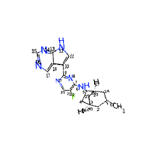 CC1C[C@H]2CC(Nc3nc(-c4c[nH]c5ncncc45)ncc3F)[C@@H](C1)C2